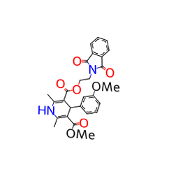 COC(=O)C1=C(C)NC(C)=C(C(=O)OCCN2C(=O)c3ccccc3C2=O)C1c1cccc(OC)c1